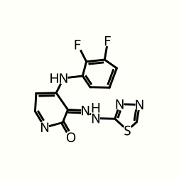 O=C1N=CC=C(Nc2cccc(F)c2F)C1=NNc1nncs1